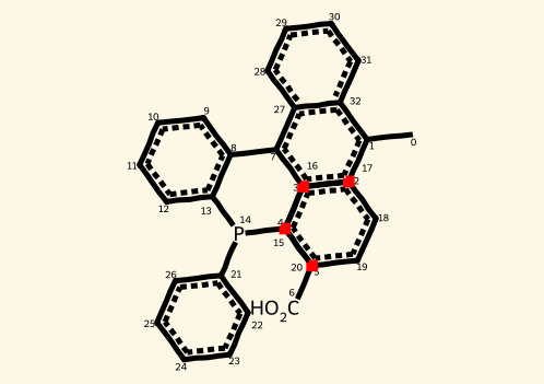 Cc1cc(CCC(=O)O)c(-c2ccccc2P(c2ccccc2)c2ccccc2)c2ccccc12